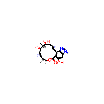 C[C@@H]1/C=C\C(=O)[C@@H](C)[C@@H](O)C/C=C/c2c(c(O)cc3c2ncn3C)C(=O)O[C@H]1C